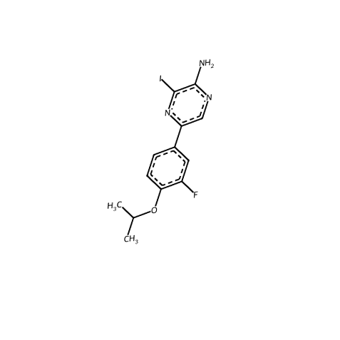 CC(C)Oc1ccc(-c2cnc(N)c(I)n2)cc1F